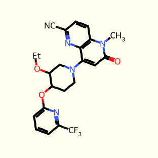 CCOC1CN(c2cc(=O)n(C)c3ccc(C#N)nc23)CCC1Oc1cccc(C(F)(F)F)n1